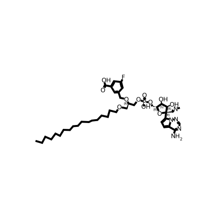 CCCCCCCCCCCCCCCCCCOC[C@H](COP(=O)(O)OC[C@H]1O[C@@](C=NC)(c2ccc3c(N)ncnn23)[C@H](O)[C@@H]1O)OCc1cc(F)cc(C(=O)O)c1